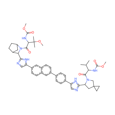 COC(=O)NC(C(=O)N1CC2(CC2)CC1c1ncc(-c2ccc(-c3ccc4cc(-c5cnc(C6C7CCC(C7)N6C(=O)C(NC(=O)OC)C(C)(C)OC)[nH]5)ccc4c3)cc2)[nH]1)C(C)C